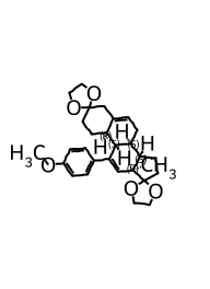 COc1ccc(C2=C[C@@]3(C)[C@@H](CCC34OCCO4)[C@@H]3CC=C4CC5(CC[C@@H]4[C@@H]23)OCCO5)cc1